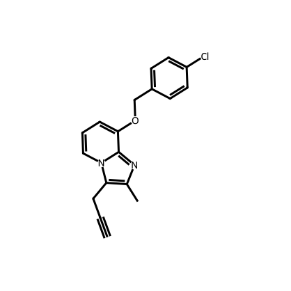 C#CCc1c(C)nc2c(OCc3ccc(Cl)cc3)cccn12